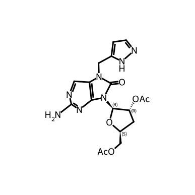 CC(=O)OC[C@@H]1C[C@@H](OC(C)=O)[C@H](n2c(=O)n(Cc3ccn[nH]3)c3cnc(N)nc32)O1